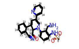 CS(=O)(=O)Nc1cccc(N2C=C(c3ccccn3)C=C(c3ccccc3C#N)C2C=O)c1CN